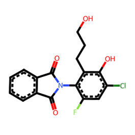 O=C1c2ccccc2C(=O)N1c1c(F)cc(Cl)c(O)c1CCCO